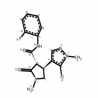 CN1C[C@H](c2cnn(C)c2Cl)[C@@H](C(=O)Nc2ccccc2F)C1=O